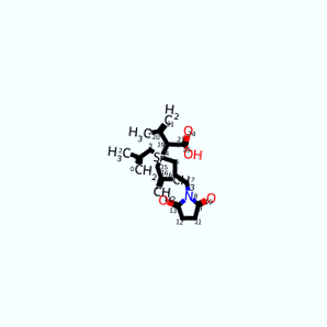 C=C(C)C[Si](CCCN1C(=O)CCC1=O)(CC(=C)C)C(C(=C)C)C(=O)O